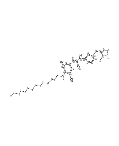 CCCCCCCCCCCCCCOc1ccc(NC(=O)Nc2cccc(C[n+]3ccsc3C)c2)cc1Cl.[Br-]